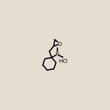 CN(C)C1(CC2CO2)CCCCC1.Cl